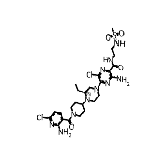 CC[C@H]1CN(c2nc(N)c(C(=O)NCCNS(C)(=O)=O)nc2Cl)CCN1C1CCN(C(=O)c2ccc(Cl)nc2N)CC1